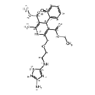 CCOC(=O)C1=C(COCCNc2nc(N)n[nH]2)NC(C)=C(C(=O)OC)C1c1ccccc1Cl